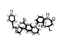 C[C@@H]1CC(=O)Nc2cccc(N3CCCc4cc(-c5cnn(CC6CCNCC6)c5)c(C(F)F)cc43)c2N1